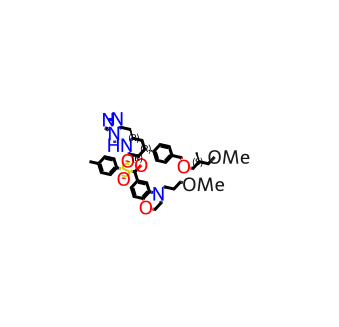 COCCCN1CCOc2ccc(C(O[C@H]3CN[C@@H](Cc4nncn4C)C[C@@H]3c3ccc(COC[C@@H](C)COC)cc3)S(=O)(=O)c3ccc(C)cc3)cc21